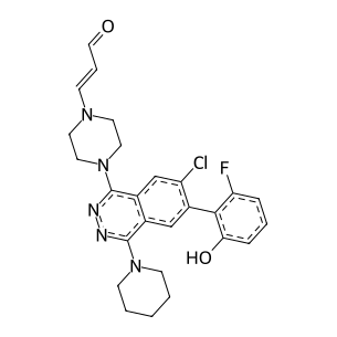 O=CC=CN1CCN(c2nnc(N3CCCCC3)c3cc(-c4c(O)cccc4F)c(Cl)cc23)CC1